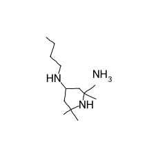 CCCCNC1CC(C)(C)NC(C)(C)C1.N